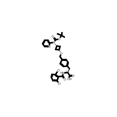 CC(C)(C)OC(=O)N(c1ccccn1)[C@H]1C[C@@H](OCc2ccc(C[C@H](NC(=O)c3c(Cl)cccc3Cl)C(=O)O)cc2)C1